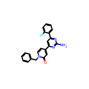 Nc1nc(-c2ccn(Cc3ccccc3)c(=O)c2)cc(-c2ccccc2F)n1